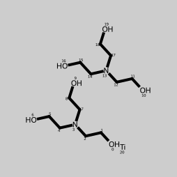 OCCN(CCO)CCO.OCCN(CCO)CCO.[Ti]